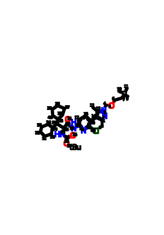 Cc1nn(COCC[Si](C)(C)C)c(C)c1-c1ccc(NC(=O)[C@@H](NC(=O)OC(C)(C)C)C(C2CCCCC2)C2CCCCC2)nc1Cl